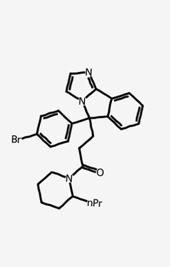 CCCC1CCCCN1C(=O)CCC1(c2ccc(Br)cc2)c2ccccc2-c2nccn21